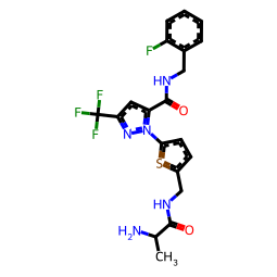 CC(N)C(=O)NCc1ccc(-n2nc(C(F)(F)F)cc2C(=O)NCc2ccccc2F)s1